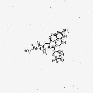 CC(NC(=O)C(N)CCC(=O)N1c2c([nH]c(N)nc2=O)NCC1C(O)C(C)O)C(=O)O.O=C(O)C(F)(F)F